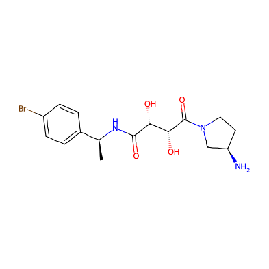 C[C@H](NC(=O)[C@H](O)[C@@H](O)C(=O)N1CC[C@@H](N)C1)c1ccc(Br)cc1